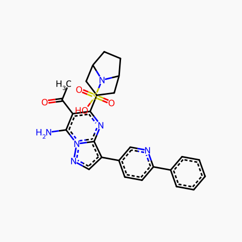 CC(=O)c1c(C2CC3CCC(C2)N3S(=O)(=O)O)nc2c(-c3ccc(-c4ccccc4)nc3)cnn2c1N